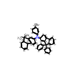 CC(C)(C)c1ccc(N(c2ccc3c(c2)C(c2ccccc2)(c2ccccc2)c2ccccc2-3)c2ccc3c(c2)C(C)(C)C2C=CC=CC32)cc1